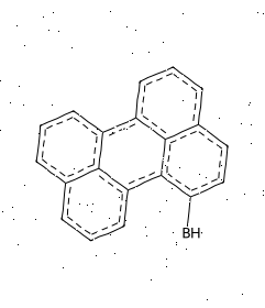 [BH]c1ccc2cccc3c4cccc5cccc(c1c23)c54